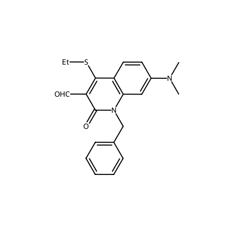 CCSc1c(C=O)c(=O)n(Cc2ccccc2)c2cc(N(C)C)ccc12